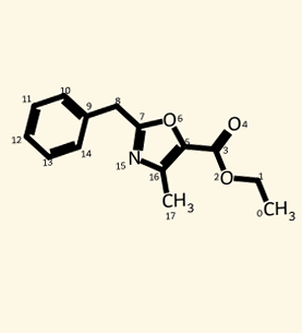 CCOC(=O)c1oc(Cc2ccccc2)nc1C